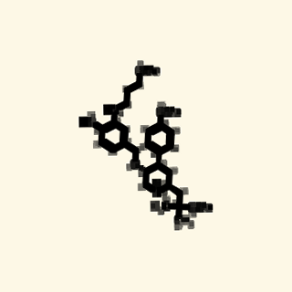 COCCCNc1cc(CO[C@H]2CN[C@H](CC(C)(C)OC)C[C@@H]2c2ccc(OC)cc2)ccc1O